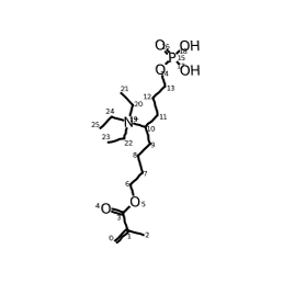 C=C(C)C(=O)OCCCCC(CCCOP(=O)(O)O)[N+](CC)(CC)CC